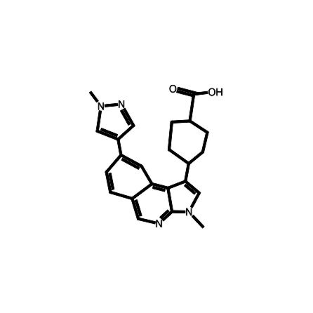 Cn1cc(-c2ccc3cnc4c(c(C5CCC(C(=O)O)CC5)cn4C)c3c2)cn1